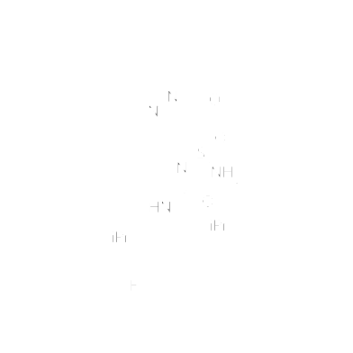 CC(C)c1ccc(F)c(C(C)C)c1NC(=O)N=[S@](N)(=O)c1cnn2c1OCCC2